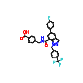 O=C(O)c1ccc(CNC(=O)c2cc(-c3ccc(F)cc3)cc3cnn(Cc4ccc(C(F)(F)F)cc4)c23)cc1